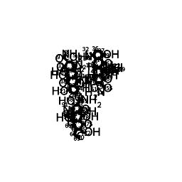 CN(C)[C@@H]1C(O)=C(C(N)=O)C(=O)[C@@]2(O)C(O)=C3C(=O)c4c(O)cccc4[C@@](C)(O)[C@H]3C[C@@H]12.CN(C)c1ccc(O)c2c1C[C@H]1C[C@H]3[C@H](N(C)C)C(O)=C(C(N)=O)C(=O)[C@@]3(O)C(O)=C1C2=O.C[C@H]1c2cccc(O)c2C(=O)C2=C(O)[C@]3(O)C(=O)C(C(N)=O)=C(O)[C@@H](N(C)C)[C@@H]3[C@@H](O)[C@@H]21.Cl.Cl.Cl.O